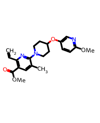 C=Cc1nc(N2CCC(Oc3ccc(OC)nc3)CC2)c(C)cc1C(=O)OC